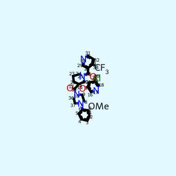 COc1ccccc1N1CCN(C(=O)C2(Oc3cncc(Cl)c3)CCCN(C(=O)c3cnccc3C(F)(F)F)C2)CC1